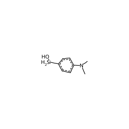 CN(C)c1ccc([SiH2]O)cc1